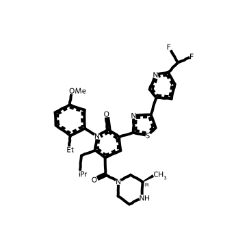 CCc1ccc(OC)cc1-n1c(CC(C)C)c(C(=O)N2CCN[C@H](C)C2)cc(-c2nc(-c3ccc(C(F)F)nc3)cs2)c1=O